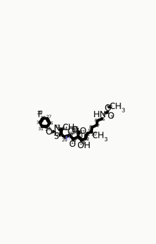 COC(=O)NCCCCC(C)c1cc(O)c(C(=O)/C(C)=C/c2sc(Oc3ccc(F)cc3)nc2C)c(=O)o1